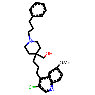 COc1ccc2ncc(Cl)c(CCCC3(CO)CCN(CCCc4ccccc4)CC3)c2c1